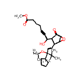 COC(=O)CCCC#CC(O)C1C(=O)C2OC2C1C=CC(O[SiH](C)C)(C1CCCC1)C(C)(C)C